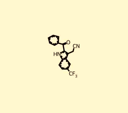 N#CCc1c(C(=O)c2ccccc2)[nH]c2ccc(C(F)(F)F)cc12